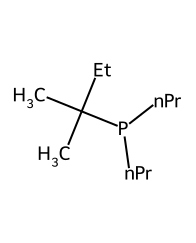 CCCP(CCC)C(C)(C)CC